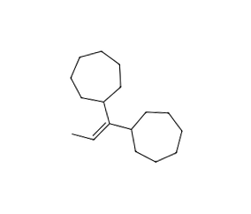 CC=C(C1CCCCCC1)C1CCCCCC1